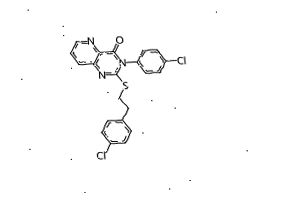 O=c1c2ncccc2nc(SCCc2ccc(Cl)cc2)n1-c1ccc(Cl)cc1